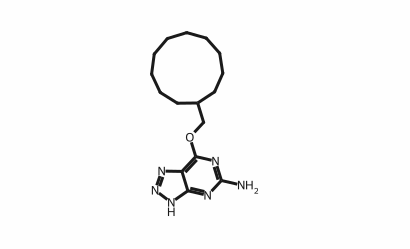 Nc1nc(OCC2CCCCCCCCCC2)c2nn[nH]c2n1